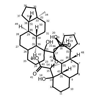 C[C@@]12CCC[C@H]1[C@@H]1CCC3CCCC(O)(C(OC(C(=O)O)C4(O)CCCC5CC[C@@H]6[C@H](CC[C@]7(C)CCC[C@@H]67)[C@H]54)C(=O)O)[C@@H]3[C@H]1CC2